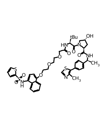 Cc1ncsc1-c1ccc([C@H](C)NC(=O)[C@@H]2C[C@@H](O)CN2C(=O)[C@@H](NC(=O)COCCOCCOc2ccc(NS(=O)(=O)c3cccs3)c3ccccc23)C(C)(C)C)cc1